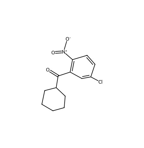 O=C(c1cc(Cl)ccc1[N+](=O)[O-])C1CCCCC1